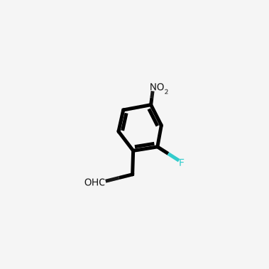 O=CCc1ccc([N+](=O)[O-])cc1F